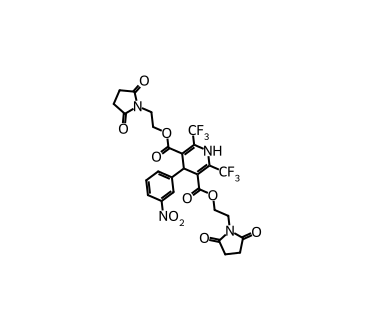 O=C(OCCN1C(=O)CCC1=O)C1=C(C(F)(F)F)NC(C(F)(F)F)=C(C(=O)OCCN2C(=O)CCC2=O)C1c1cccc([N+](=O)[O-])c1